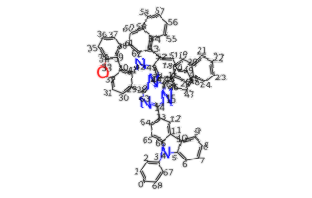 c1ccc(-n2c3ccccc3c3cc(-c4nc(-c5ccc6ccccc6c5)nc(-c5ccc6oc7ccccc7c6c5-n5c6cc7ccccc7cc6c6c7ccccc7ccc65)n4)ccc32)cc1